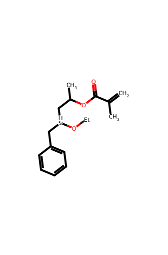 C=C(C)C(=O)OC(C)C[SiH](Cc1ccccc1)OCC